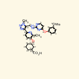 COc1cccc(Oc2ccnc(NCc3c(-c4ccc(O[C@H]5CCC[C@H](C(=O)O)C5)c(C)n4)nnn3C)n2)c1